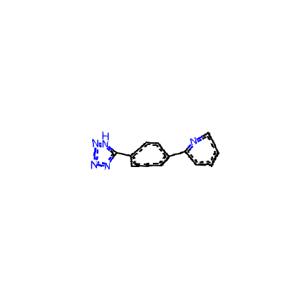 c1ccc(-c2ccc(-c3nnn[nH]3)cc2)nc1